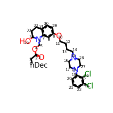 CCCCCCCCCCCC(=O)OCN1c2cc(OCCCCN3CCN(c4cccc(Cl)c4Cl)CC3)ccc2CCC1O